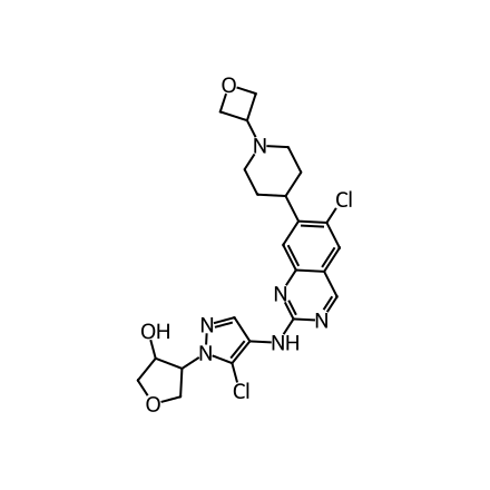 OC1COCC1n1ncc(Nc2ncc3cc(Cl)c(C4CCN(C5COC5)CC4)cc3n2)c1Cl